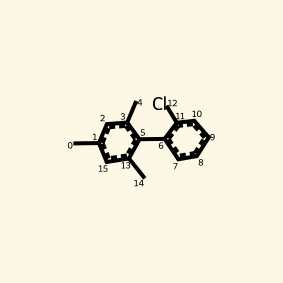 Cc1cc(C)c(-c2ccccc2Cl)c(C)c1